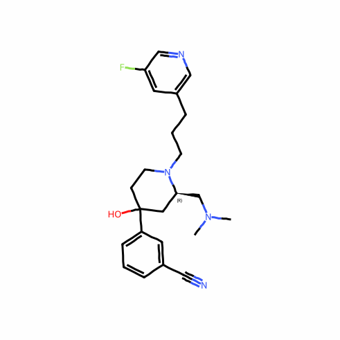 CN(C)C[C@H]1CC(O)(c2cccc(C#N)c2)CCN1CCCc1cncc(F)c1